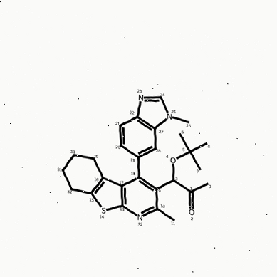 CC(=O)C(OC(C)(C)C)c1c(C)nc2sc3c(c2c1-c1ccc2ncn(C)c2c1)CCCC3